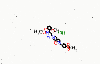 CCOC(=O)NC(CCN1CCC2(CC1)CCN(Cc1ccc(S(C)(=O)=O)cc1)C2=O)c1ccccc1OC.Cl